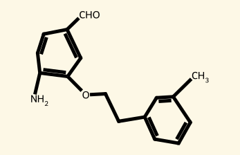 Cc1cccc(CCOc2cc(C=O)ccc2N)c1